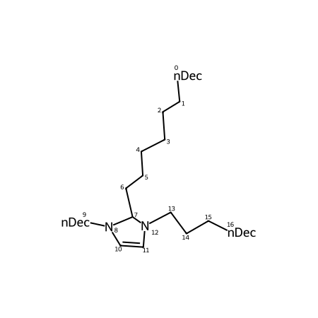 CCCCCCCCCCCCCCCCC1N(CCCCCCCCCC)C=CN1CCCCCCCCCCCCC